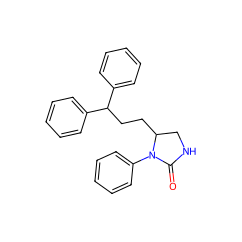 O=C1NCC(CCC(c2ccccc2)c2ccccc2)N1c1ccccc1